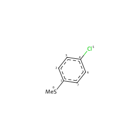 [CH]Sc1ccc(Cl)cc1